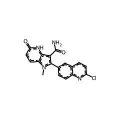 Cn1c(-c2ccc3nc(Cl)ccc3c2)c(C(N)=O)c2[nH]c(=O)ccc21